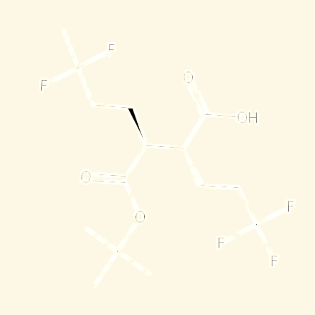 CC(F)(F)CC[C@H](C(=O)OC(C)(C)C)[C@@H](CCC(F)(F)F)C(=O)O